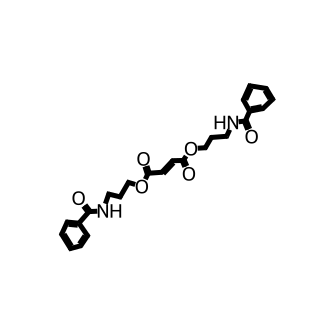 O=C(/C=C/C(=O)OCCCNC(=O)c1ccccc1)OCCCNC(=O)c1ccccc1